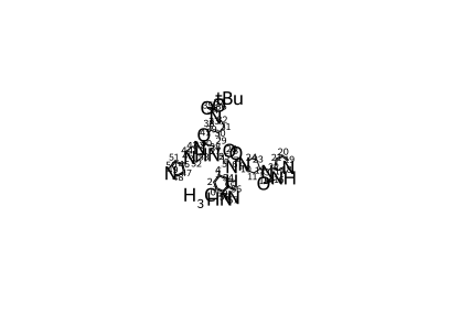 Cc1cc(C[C@@H](NC(=O)N2CCC(n3c(=O)[nH]c4ncccc43)CC2)C(=O)N[C@@H](CC2CCN(C(=O)OC(C)(C)C)CC2)C(=O)N2CCN(c3ccncc3)CC2)cc2cn[nH]c12